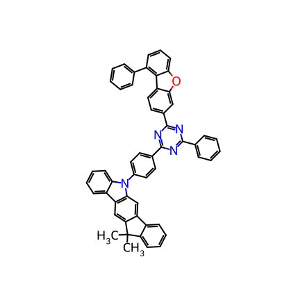 CC1(C)c2ccccc2-c2cc3c(cc21)c1ccccc1n3-c1ccc(-c2nc(-c3ccccc3)nc(-c3ccc4c(c3)oc3cccc(-c5ccccc5)c34)n2)cc1